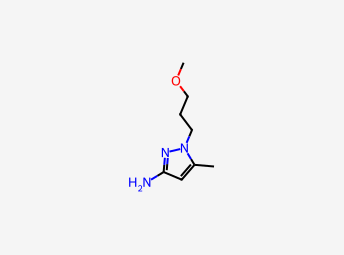 COCCCn1nc(N)cc1C